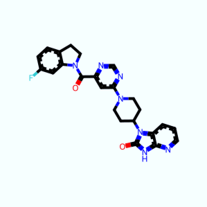 O=C(c1cc(N2CCC(n3c(=O)[nH]c4ncccc43)CC2)ncn1)N1CCc2ccc(F)cc21